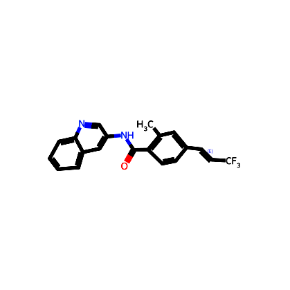 Cc1cc(/C=C/C(F)(F)F)ccc1C(=O)Nc1cnc2ccccc2c1